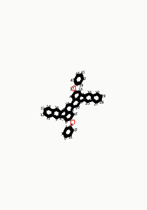 c1ccc(Oc2cc3c4cc5ccccc5cc4c4cc5c(cc6c7cc8ccccc8cc7c7cc(Oc8ccccc8)cc5c76)c(c2)c34)cc1